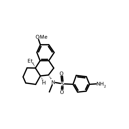 CC[C@@]12CCCC[C@@H]1[C@@H](N(C)S(=O)(=O)c1ccc(N)cc1)Cc1ccc(OC)cc12